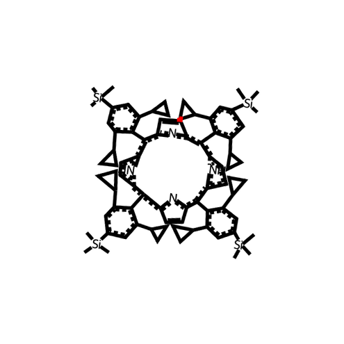 C[Si](C)(C)c1cc(C2CC2)c(-c2c3nc(c(-c4c(C5CC5)cc([Si](C)(C)C)cc4C4CC4)c4ccc([nH]4)c(-c4c(C5CC5)cc([Si](C)(C)C)cc4C4CC4)c4nc(c(-c5c(C6CC6)cc([Si](C)(C)C)cc5C5CC5)c5ccc2[nH]5)C=C4)C=C3)c(C2CC2)c1